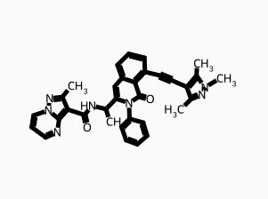 Cc1nn(C)c(C)c1C#Cc1cccc2cc(C(C)NC(=O)c3c(C)nn4cccnc34)n(-c3ccccc3)c(=O)c12